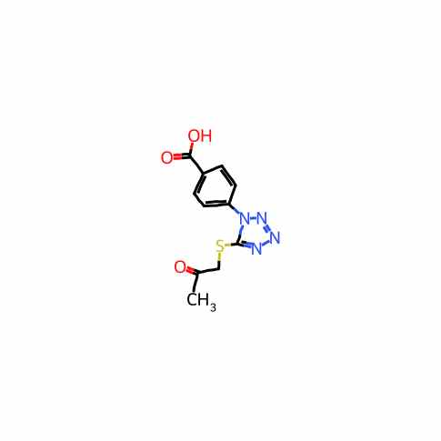 CC(=O)CSc1nnnn1-c1ccc(C(=O)O)cc1